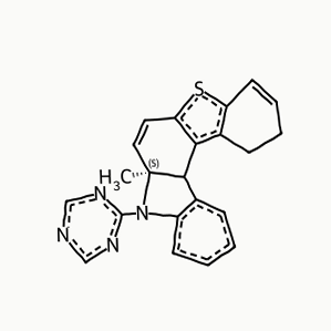 C[C@]12C=Cc3sc4c(c3C1c1ccccc1N2c1ncncn1)CCC=C4